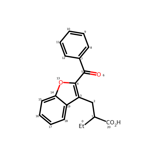 CCC(Cc1c(C(=O)c2ccccc2)oc2ccccc12)C(=O)O